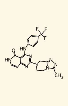 Cc1nnc2n1CCN(c1nc(Nc3ccc(C(F)(F)F)cc3)c3c(=O)[nH]ccc3n1)C2